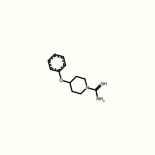 N=C(N)N1CCC(Oc2cc[c]cc2)CC1